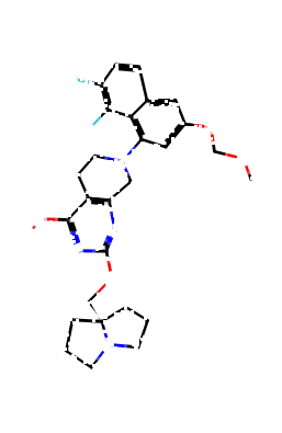 COCOc1cc(N2CCc3c(nc(OC[C@@]45CCCN4C[C@H](F)C5)nc3OC)C2)c2c(F)c(F)ccc2c1